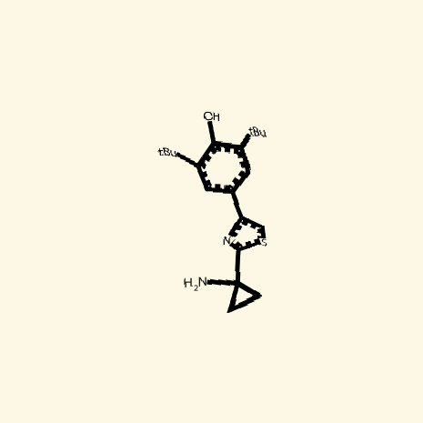 CC(C)(C)c1cc(-c2csc(C3(N)CC3)n2)cc(C(C)(C)C)c1O